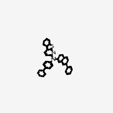 c1ccc(-c2ccc(N(c3ccc4ccc(-c5ccccc5)cc4c3)c3ccc4c(n3)sc3ccccc34)cc2)cc1